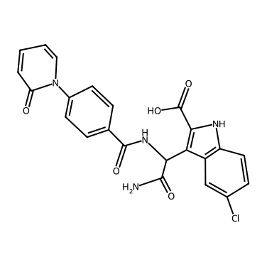 NC(=O)C(NC(=O)c1ccc(-n2ccccc2=O)cc1)c1c(C(=O)O)[nH]c2ccc(Cl)cc12